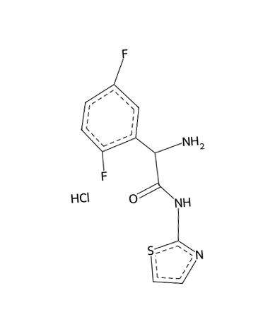 Cl.NC(C(=O)Nc1nccs1)c1cc(F)ccc1F